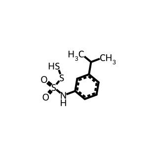 CC(C)c1cccc(NS(=O)(=O)SS)c1